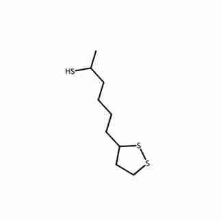 CC(S)CCCCC1CCSS1